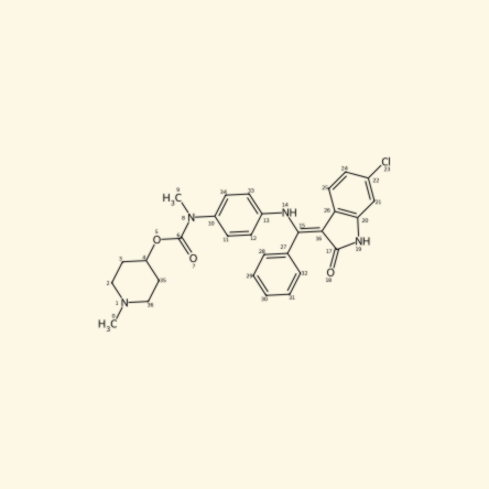 CN1CCC(OC(=O)N(C)c2ccc(NC(=C3C(=O)Nc4cc(Cl)ccc43)c3ccccc3)cc2)CC1